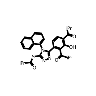 CC(C)C(=O)Sc1nnc(-c2ccc(C(=O)C(C)C)c(O)c2C(=O)C(C)C)n1-c1cccc2ccccc12